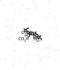 C=CC1=C(C)/C(=C/c2[nH]c(/C=C3N=C(/C=C4\NC(=O)C(C)=C4C=C)C(C)=C\3CCC(=O)O)c(CCC)c2C)NC1=O